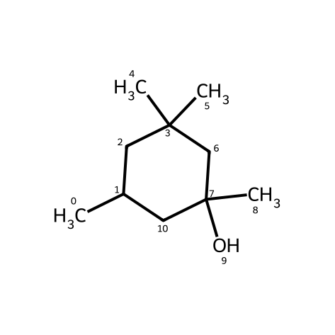 CC1CC(C)(C)CC(C)(O)C1